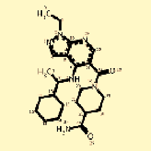 CCn1ncc2c(NC(C)C3CCCCC3)c(C(=O)N3CCC(C(N)=O)CC3)cnc21